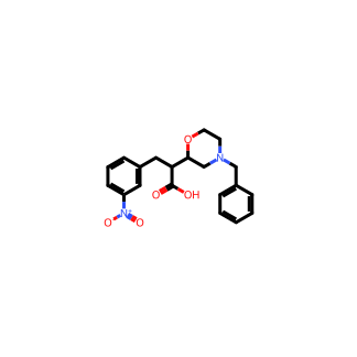 O=C(O)C(Cc1cccc([N+](=O)[O-])c1)C1CN(Cc2ccccc2)CCO1